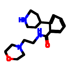 O=C(NCCN1CCOCC1)c1ccccc1C1CCNCC1